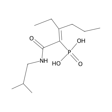 CCCC(CC)=C(C(=O)NCC(C)C)P(=O)(O)O